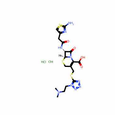 CN(C)CCn1nnnc1SCC1=C(C(=O)O)N2C(=O)[C@@H](NC(=O)Cc3csc(N)n3)[C@@H]2SC1.Cl.Cl